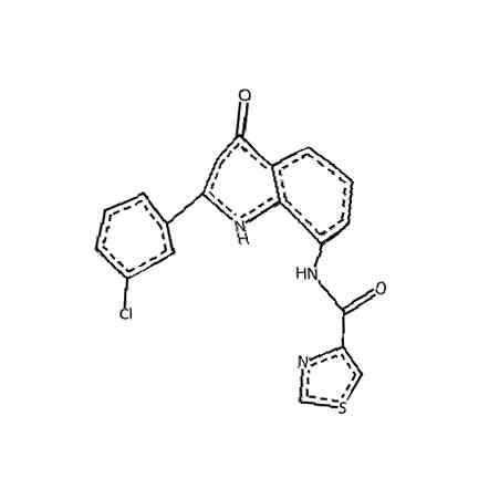 O=C(Nc1cccc2c(=O)cc(-c3cccc(Cl)c3)[nH]c12)c1cscn1